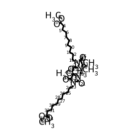 COC(=O)CCCCCCCCCCN1C(=O)N(CN2C(=O)N(CCCCCCCCCCC(=O)OC)C(=O)C2(C)C)C(C)(C)C1=O